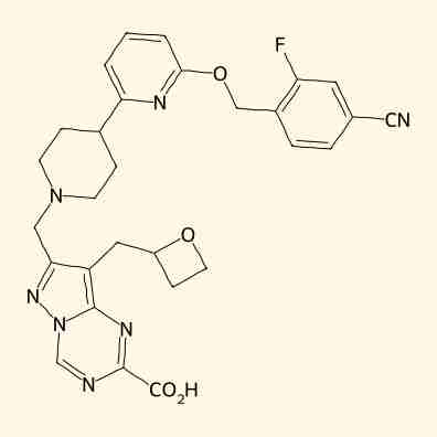 N#Cc1ccc(COc2cccc(C3CCN(Cc4nn5cnc(C(=O)O)nc5c4CC4CCO4)CC3)n2)c(F)c1